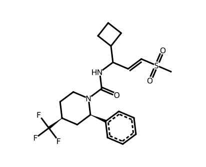 CS(=O)(=O)/C=C/C(NC(=O)N1CC[C@H](C(F)(F)F)C[C@@H]1c1ccccc1)C1CCC1